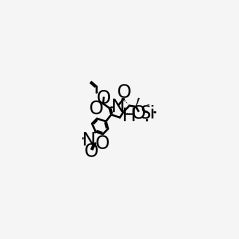 C=CCOC(=O)C1=C(c2ccc3c(c2)oc(=O)n3C)C[C@@H]2[C@@H]([C@@H](C)O[Si](C)(C)C)C(=O)N12